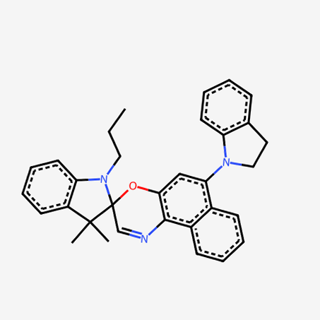 CCCN1c2ccccc2C(C)(C)C12C=Nc1c(cc(N3CCc4ccccc43)c3ccccc13)O2